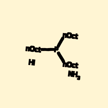 CCCCCCCCP(CCCCCCCC)CCCCCCCC.I.N